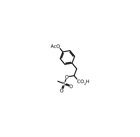 CC(=O)Oc1ccc(CC(OS(C)(=O)=O)C(=O)O)cc1